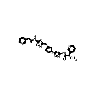 C[C@H](C(=O)Nc1nnc([C@H]2CC[C@@H](Cc3nnc(NC(=O)Cc4cccnc4)s3)C2)s1)c1cccnc1